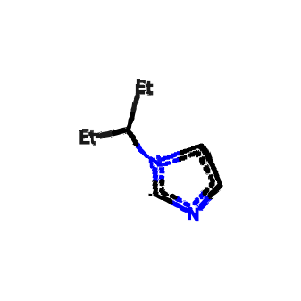 CCC(CC)n1[c]ncc1